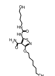 CCCCCCCOc1nsc(NC(=O)NCCCCO)c1C(N)=O